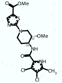 COC(=O)c1cnc(N2CC[C@H](NC(=O)c3[nH]c(C)c(Cl)c3Cl)[C@@H](OC)C2)s1